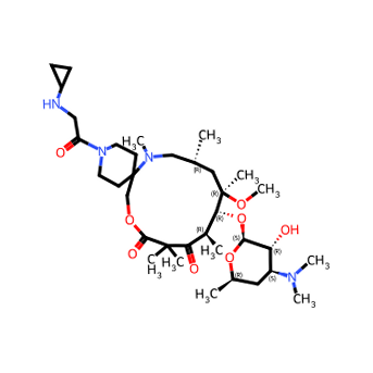 CO[C@]1(C)C[C@@H](C)CN(C)C2(CCN(C(=O)CNC3CC3)CC2)COC(=O)C(C)(C)C(=O)[C@H](C)[C@H]1O[C@@H]1O[C@H](C)C[C@H](N(C)C)[C@H]1O